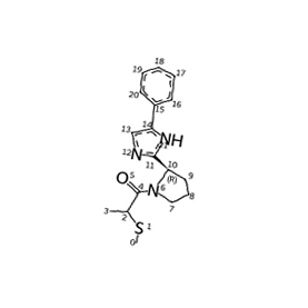 CSC(C)C(=O)N1CCC[C@@H]1c1ncc(-c2ccccc2)[nH]1